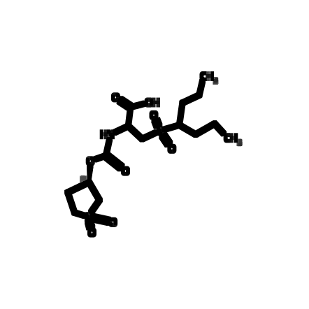 CCCC(CCC)S(=O)(=O)CC(NC(=O)O[C@@H]1CCS(=O)(=O)C1)C(=O)O